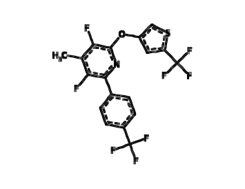 Cc1c(F)c(Oc2csc(C(F)(F)F)c2)nc(-c2ccc(C(F)(F)F)cc2)c1F